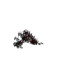 Cc1ncc(C[n+]2csc(CCO)c2C)c(N)n1.Cc1ncc(C[n+]2csc(CCO)c2C)c(N)n1.Cc1ncc(C[n+]2csc(CCO)c2C)c(N)n1.Cc1ncc(C[n+]2csc(CCO)c2C)c(N)n1.O=P([O-])([O-])OP(=O)([O-])[O-].O=P([O-])([O-])OP(=O)([O-])[O-].O=P([O-])([O-])OP(=O)([O-])[O-].[Cl-].[Cl-].[Cl-].[Cl-].[Fe+3].[Fe+3].[Fe+3].[Fe+3]